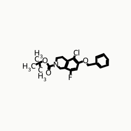 CC(C)(C)OC(=O)N1CCc2c(Cl)c(OCc3ccccc3)cc(F)c2C1